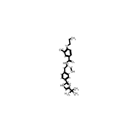 CCCOc1ccc(C(=O)N[C@H](CO)Cc2ccc(-c3nc(C(C)(C)C)c[nH]3)cc2)cc1Cl